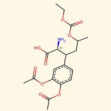 CCOC(=O)OC(C)CC(c1ccc(OC(C)=O)c(OC(C)=O)c1)[C@H](N)C(=O)O